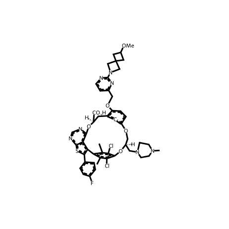 COC1CC2(C1)CN(c1nccc(COc3ccc4cc3C[C@H](C(=O)O)Oc3ncnc5sc(-c6ccc(F)cc6)c(c35)-c3c(C)c(Cl)c(c(Cl)c3C)O[C@H](CN3CCN(C)CC3)CO4)n1)C2